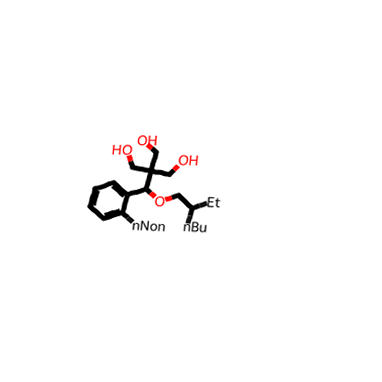 CCCCCCCCCc1ccccc1C(OCC(CC)CCCC)C(CO)(CO)CO